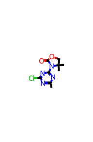 Cc1nc(Cl)nc(N2C(=O)OCC2(C)C)n1